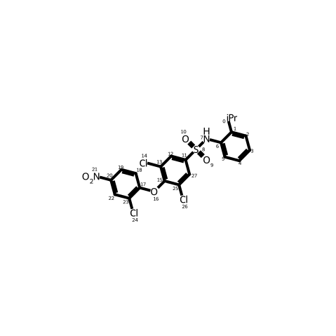 CC(C)c1ccccc1NS(=O)(=O)c1cc(Cl)c(Oc2ccc([N+](=O)[O-])cc2Cl)c(Cl)c1